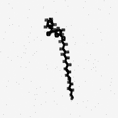 CC/C=C/C/C=C/C/C=C/CCCCCCCCOc1ccc(C(=O)n2ccnc2)o1